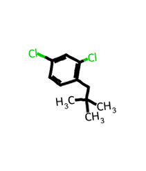 CC(C)(C)Cc1ccc(Cl)cc1Cl